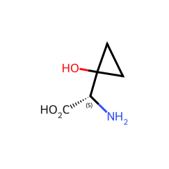 N[C@H](C(=O)O)C1(O)CC1